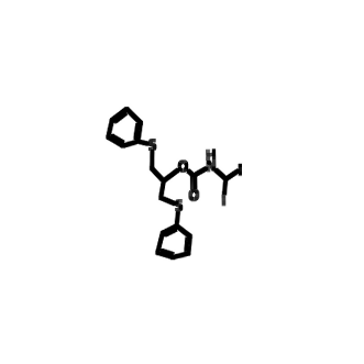 O=C(NC(I)I)OC(CSc1ccccc1)CSc1ccccc1